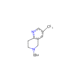 CC(C)(C)N1CCc2ncc(C(F)(F)F)cc2C1